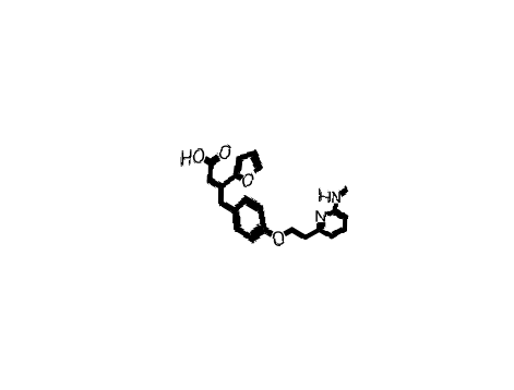 CNc1cccc(CCOc2ccc(CC(CC(=O)O)c3ccco3)cc2)n1